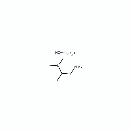 CCCCCCCC(C)N(C)C.O=S(=O)(O)O